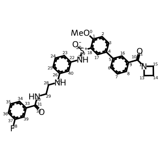 COc1ccc(-c2cccc(C(=O)N3CCC3)c2)cc1[S+]([O-])Nc1cccc(NCCNC(=O)c2cccc(F)c2)c1